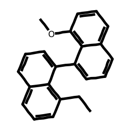 CCc1cccc2cccc(-c3cccc4cccc(OC)c34)c12